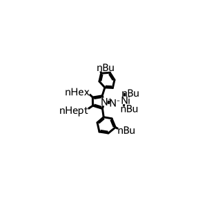 CCCCCCCC1=C(c2cccc(CCCC)c2)[N+](=[N-])C(c2cccc(CCCC)c2)=C1CCCCCC.CCC[CH2][Ni][CH2]CCC